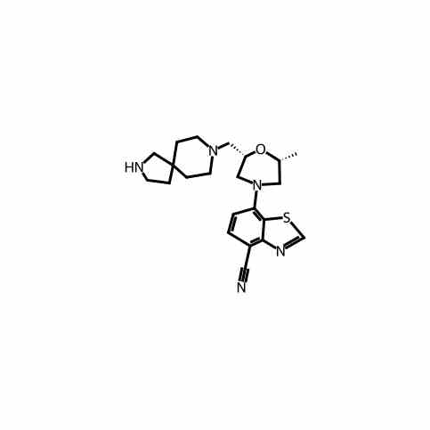 C[C@@H]1CN(c2ccc(C#N)c3ncsc23)C[C@H](CN2CCC3(CCNC3)CC2)O1